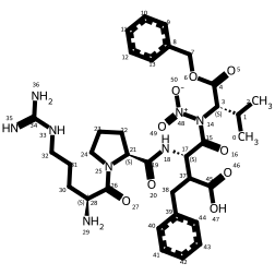 CC(C)[C@@H](C(=O)OCc1ccccc1)N(C(=O)[C@@H](NC(=O)[C@@H]1CCCN1C(=O)[C@@H](N)CCCNC(=N)N)C(Cc1ccccc1)C(=O)O)[N+](=O)[O-]